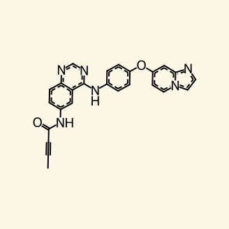 CC#CC(=O)Nc1ccc2ncnc(Nc3ccc(Oc4ccn5ccnc5c4)cc3)c2c1